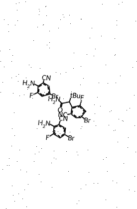 CC(C)(C)C(C(N)=O)c1c(F)cc(Br)cc1C#N.N#Cc1cc(Br)cc(F)c1N.N#Cc1cc(Br)cc(F)c1N